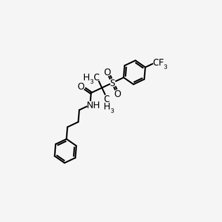 CC(C)(C(=O)NCCCc1ccccc1)S(=O)(=O)c1ccc(C(F)(F)F)cc1